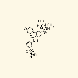 CC(C)(C)NS(=O)(=O)c1cccc(NC(=O)c2ccc(S(=O)(=O)NC(C)(C)CO)cc2N2CCC3(CC2)CC3)c1